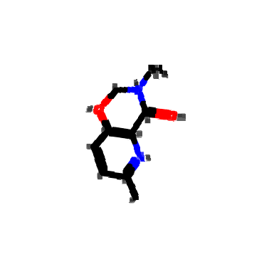 BN1COc2ccc(C)nc2C1=O